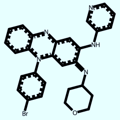 Brc1ccc(-n2c3c/c(=N\C4CCOCC4)c(Nc4cccnc4)cc-3nc3ccccc32)cc1